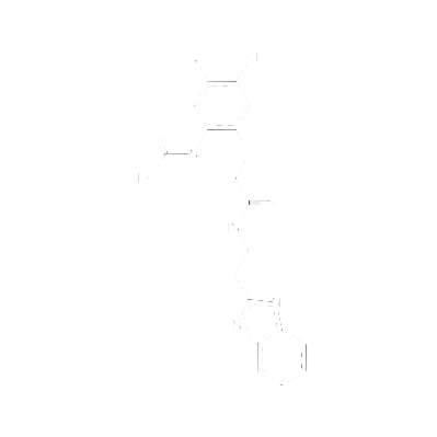 CC(=O)Nc1cc(Cl)c(C)cc1OCC(=O)NCCc1nc2ccccc2[nH]1